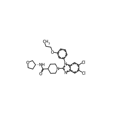 CCCOc1cccc(-n2c(N3CCC(C(=O)N[C@@H]4CCOC4)CC3)nc3cc(Cl)c(Cl)cc32)c1